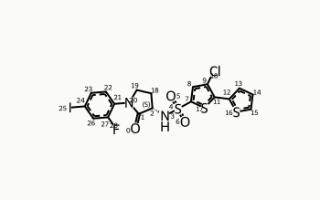 O=C1[C@@H](NS(=O)(=O)c2cc(Cl)c(-c3cccs3)s2)CCN1c1ccc(I)cc1F